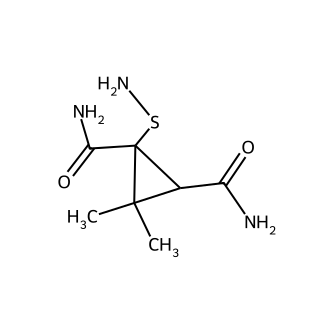 CC1(C)C(C(N)=O)C1(SN)C(N)=O